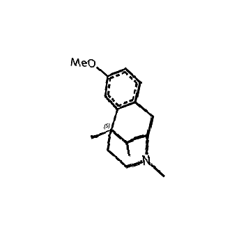 COc1ccc2c(c1)[C@@]1(C)CCN(C)C(C2)C1C